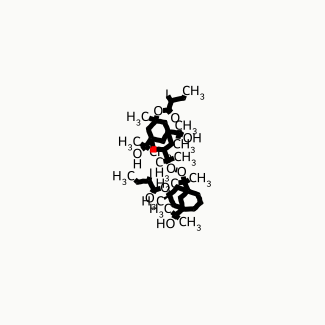 CCC(I)C(=O)OC1(C)CC2(C(C)(C)O)CC(C(C)(C)OOC(C)(C)C34CCCC(C(C)(C)O)(C3)C[C@](C)(OC(=O)C(I)CC)C4)CC(C(C)(C)O)(C1)C2